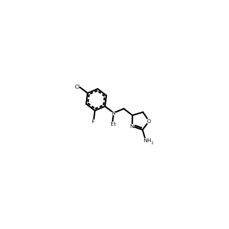 CCN(CC1COC(N)=N1)c1ccc(Cl)cc1F